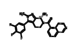 C[C@H]1c2nn(C)c(-c3cc(F)c(F)c(F)c3)c2CCN1C(=O)c1cccc2cnccc12